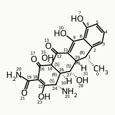 C[C@H]1c2cccc(O)c2C(O)=C2C(=O)[C@]3(O)C(=O)C(C(N)=O)=C(O)[C@@H](N)[C@@H]3[C@@H](O)[C@@H]21